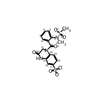 CN(c1ccccc1C(=O)N1CC(=O)Nc2cc(S(=O)(=O)Cl)ccc21)S(C)(=O)=O